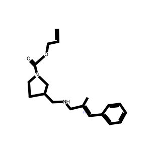 C=CCOC(=O)N1CCC(CNC/C(C)=C/c2ccccc2)C1